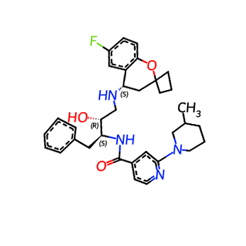 CC1CCCN(c2cc(C(=O)N[C@@H](Cc3ccccc3)[C@H](O)CN[C@H]3CC4(CCC4)Oc4ccc(F)cc43)ccn2)C1